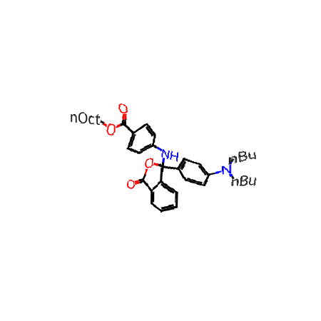 CCCCCCCCOC(=O)c1ccc(NC2(c3ccc(N(CCCC)CCCC)cc3)OC(=O)c3ccccc32)cc1